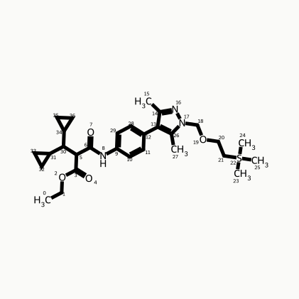 CCOC(=O)C(C(=O)Nc1ccc(-c2c(C)nn(COCCS(C)(C)C)c2C)cc1)C(C1CC1)C1CC1